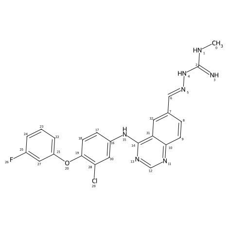 CNC(=N)N/N=C/c1ccc2ncnc(Nc3ccc(Oc4cccc(F)c4)c(Cl)c3)c2c1